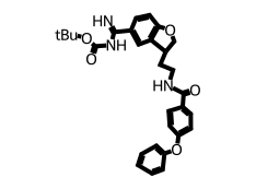 CC(C)(C)OC(=O)NC(=N)c1ccc2c(c1)C(CCNC(=O)c1ccc(Oc3ccccc3)cc1)CO2